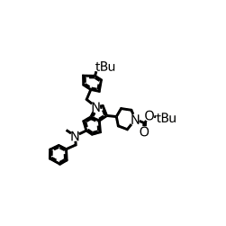 CN(Cc1ccccc1)c1ccc2c(C3CCN(C(=O)OC(C)(C)C)CC3)cn(Cc3ccc(C(C)(C)C)cc3)c2c1